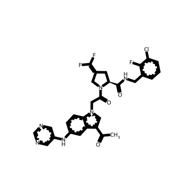 CC(=O)c1cn(CC(=O)N2CC(=C(F)F)C[C@H]2C(=O)NCc2cccc(Cl)c2F)c2ccc(Nc3cncnc3)cc12